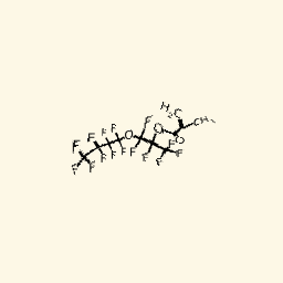 C=C(C)C(=O)OC(F)(C(F)(F)F)C(F)(F)OC(F)(F)C(F)(F)C(F)(F)C(F)(F)F